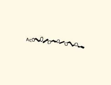 C=CCOCCOCCOCCOCCOCCOC(C)=O